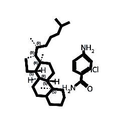 CC(C)CCC[C@@H](C)[C@H]1CC[C@H]2[C@@H]3CCC4CCCC[C@]4(C)[C@H]3CC[C@]12C.Cl.NC(=O)c1ccc(N)cc1